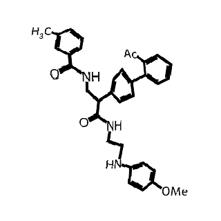 COc1ccc(NCCNC(=O)C(CNC(=O)c2cccc(C)c2)c2ccc(-c3ccccc3C(C)=O)cc2)cc1